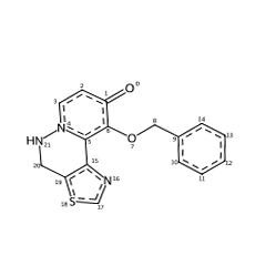 O=c1ccn2c(c1OCc1ccccc1)-c1ncsc1CN2